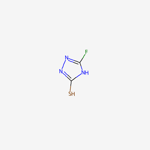 Fc1nnc(S)[nH]1